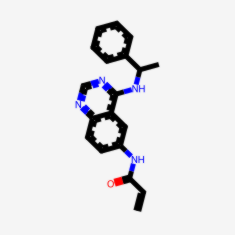 C=CC(=O)Nc1ccc2ncnc(NC(C)c3ccccc3)c2c1